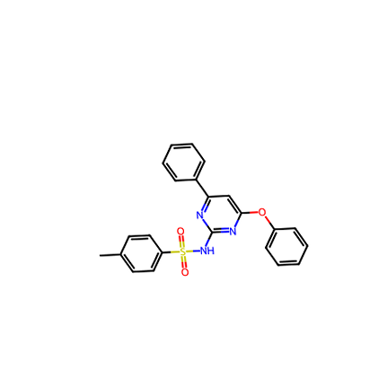 Cc1ccc(S(=O)(=O)Nc2nc(Oc3ccccc3)cc(-c3ccccc3)n2)cc1